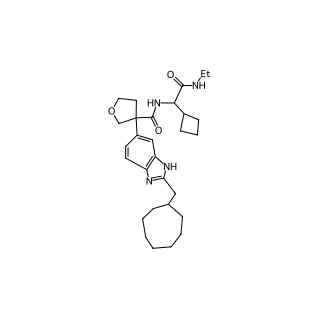 CCNC(=O)C(NC(=O)C1(c2ccc3nc(CC4CCCCCCC4)[nH]c3c2)CCOC1)C1CCC1